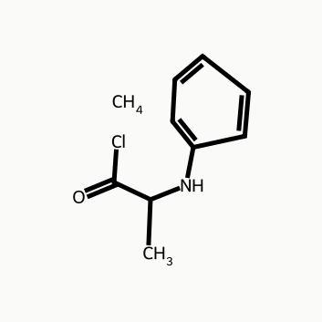 C.CC(Nc1ccccc1)C(=O)Cl